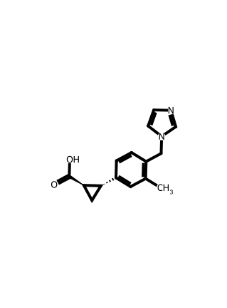 Cc1cc([C@@H]2C[C@H]2C(=O)O)ccc1Cn1ccnc1